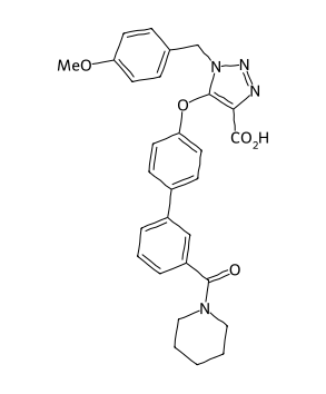 COc1ccc(Cn2nnc(C(=O)O)c2Oc2ccc(-c3cccc(C(=O)N4CCCCC4)c3)cc2)cc1